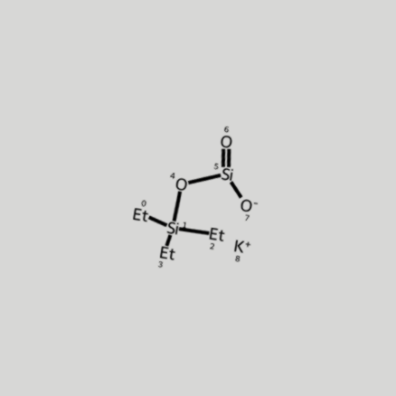 CC[Si](CC)(CC)O[Si](=O)[O-].[K+]